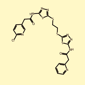 O=C(Cc1ccc(Cl)nc1)Nc1nnc(SCCSc2nnc(NC(=O)Cc3ccccn3)s2)s1